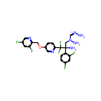 N/N=C\N(N)CC(N)(c1ccc(F)cc1F)C(F)(F)c1ccc(OCc2ncc(F)cc2F)cn1